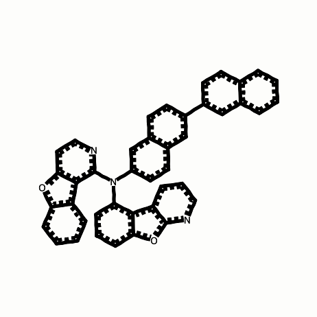 c1ccc2cc(-c3ccc4cc(N(c5nccc6oc7ccccc7c56)c5cccc6oc7ncccc7c56)ccc4c3)ccc2c1